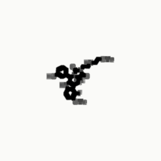 COCCNCCN1C(=O)N2C(c3cccc(O)c3)c3[nH]c4ccc(OC)c(F)c4c3CC2(C)C1=O